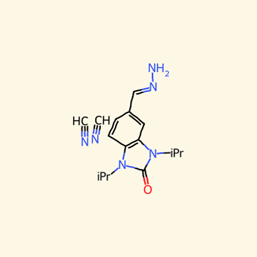 C#N.C#N.CC(C)n1c(=O)n(C(C)C)c2cc(C=NN)ccc21